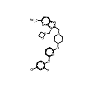 O=C(O)c1ccc2nc(CN3CCC(Oc4cccc(Oc5ccc(Cl)cc5F)n4)CC3)n(C[C@@H]3CCO3)c2n1